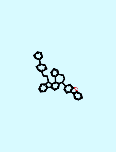 c1ccc(-c2ccc(CCC3c4ccccc4-c4ccc5c(c43)-c3ccccc3CCC5c3ccc4c(c3)oc3ccccc34)cc2)cc1